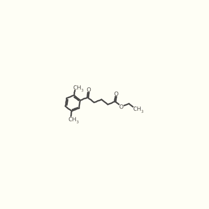 CCOC(=O)CCCC(=O)c1cc(C)ccc1C